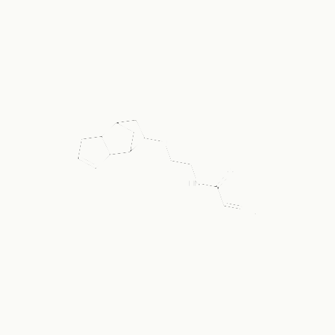 C=CC(=O)NCCOC1CC2CC1C1C=CCC21